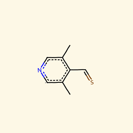 Cc1[c]ncc(C)c1C=S